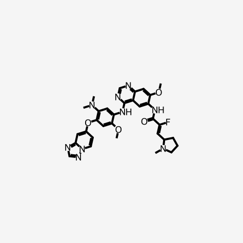 COc1cc2ncnc(Nc3cc(N(C)C)c(Oc4ccn5ncnc5c4)cc3OC)c2cc1NC(=O)C(F)=CC1CCCN1C